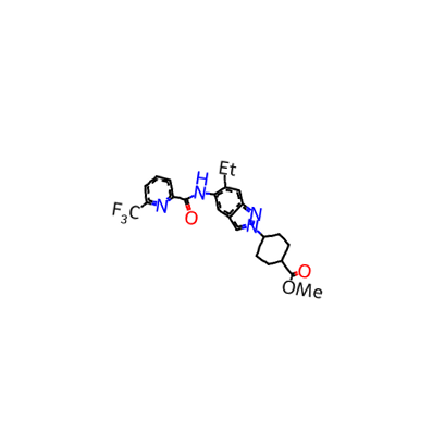 CCc1cc2nn(C3CCC(C(=O)OC)CC3)cc2cc1NC(=O)c1cccc(C(F)(F)F)n1